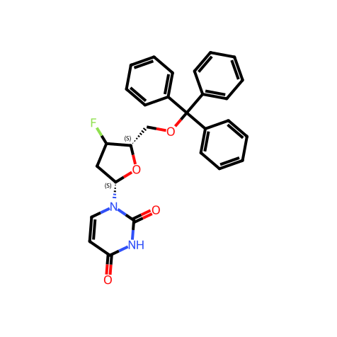 O=c1ccn([C@@H]2CC(F)[C@H](COC(c3ccccc3)(c3ccccc3)c3ccccc3)O2)c(=O)[nH]1